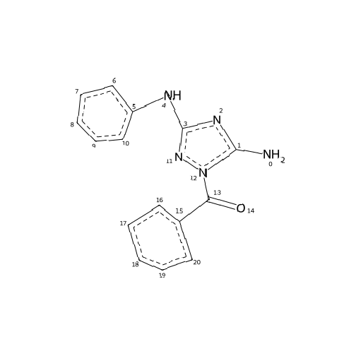 Nc1nc(Nc2ccccc2)nn1C(=O)c1ccccc1